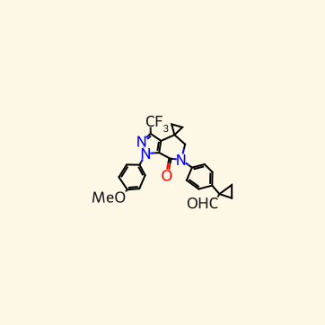 COc1ccc(-n2nc(C(F)(F)F)c3c2C(=O)N(c2ccc(C4(C=O)CC4)cc2)CC32CC2)cc1